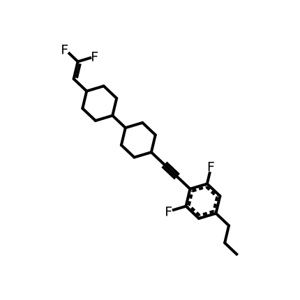 CCCc1cc(F)c(C#CC2CCC(C3CCC(C=C(F)F)CC3)CC2)c(F)c1